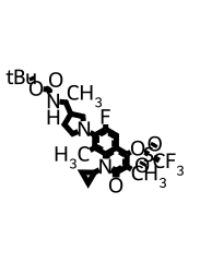 Cc1c(OS(=O)(=O)C(F)(F)F)c2cc(F)c(N3CCC([C@H](C)NC(=O)OC(C)(C)C)C3)c(C)c2n(C2CC2)c1=O